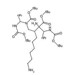 CCCC(NC(=O)OC(C)(C)C)N(CC(CCCCCCN)C(N)(C(=O)OC(C)(C)C)C(CCC)NC(=O)OC(C)(C)C)C(=O)OC(C)(C)C